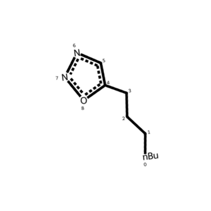 CCCCCCCc1cnno1